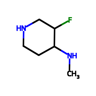 CNC1CCNCC1F